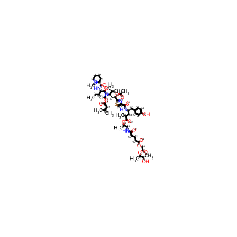 CC[C@H](C)[C@H](NC(=O)[C@H]1CCCCN1C)C(=O)N(COC(=O)CC(C)C)[C@H](C[C@@H](OC(C)=O)c1nc(C(=O)N[C@@H](Cc2ccc(O)cc2)C[C@H](C)C(=O)OC(C)CNC(=O)CCCC(=O)OCC(OC)OC(C)CO)cs1)C(C)C